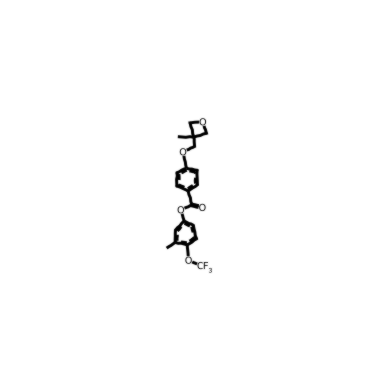 Cc1cc(OC(=O)c2ccc(OCC3(C)COC3)cc2)ccc1OC(F)(F)F